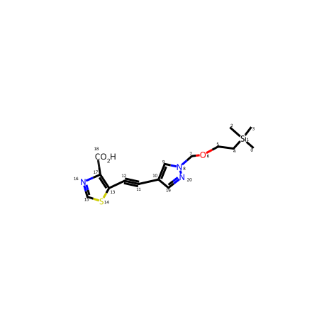 C[Si](C)(C)CCOCn1cc(C#Cc2scnc2C(=O)O)cn1